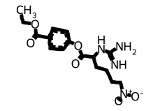 CCOC(=O)c1ccc(OC(=O)C(CCCC[N+](=O)[O-])NC(=N)N)cc1